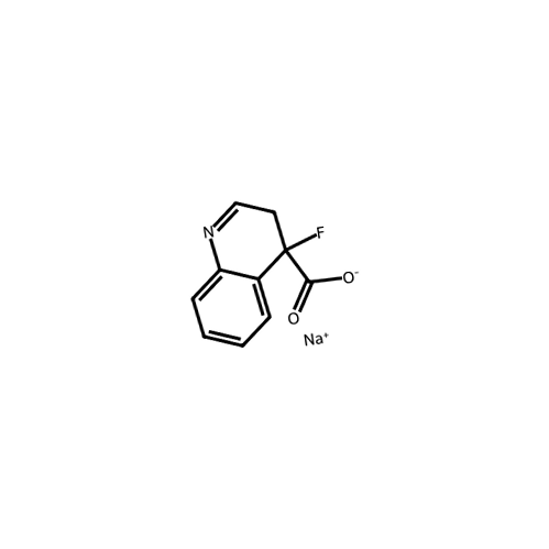 O=C([O-])C1(F)CC=Nc2ccccc21.[Na+]